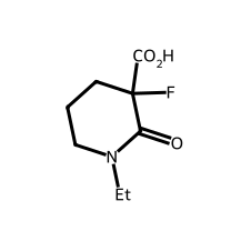 CCN1CCCC(F)(C(=O)O)C1=O